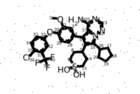 COc1cc(-c2c(C3CCS(O)(O)CC3)c(C3CCCC3)n3ncnc(N)c23)ccc1Oc1ccc(Cl)c(C(F)(F)F)c1